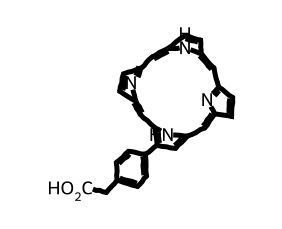 O=C(O)Cc1ccc(-c2cc3cc4nc(cc5ccc(cc6nc(cc2[nH]3)C=C6)[nH]5)C=C4)cc1